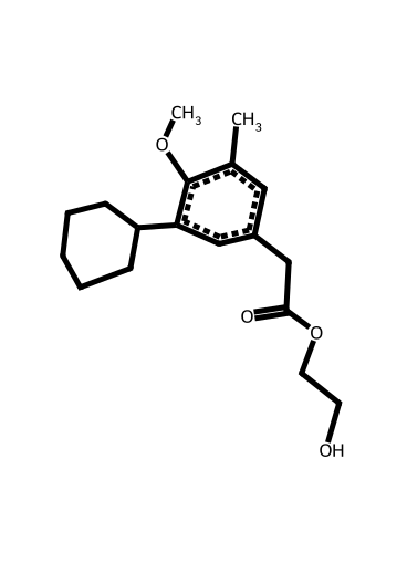 COc1c(C)cc(CC(=O)OCCO)cc1C1CCCCC1